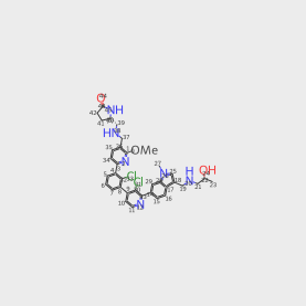 COc1nc(-c2cccc(-c3ccnc(-c4ccc5c(CNCC(C)O)cn(C)c5c4)c3Cl)c2Cl)ccc1CNC[C@@H]1CCC(=O)N1